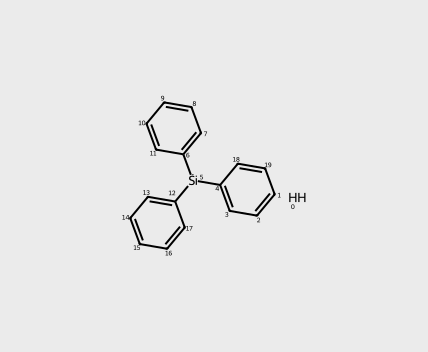 [HH].c1ccc([Si](c2ccccc2)c2ccccc2)cc1